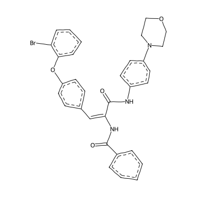 O=C(Nc1ccc(N2CCOCC2)cc1)/C(=C\c1ccc(Oc2ccccc2Br)cc1)NC(=O)c1ccccc1